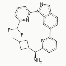 CC1CC([C@H](N)c2cccc(-c3ccc4cnn(-c5cccc(C(F)F)n5)c4c3)n2)C1